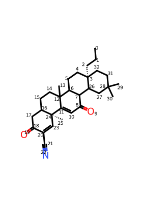 CCC[C@@]12CCC3C(C(=O)C=C4C3(C)CCC3CC(=O)C(C#N)=C[C@]43C)C1CC(C)(C)CC2